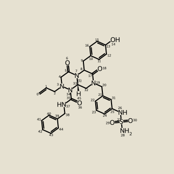 C=CCN1CC(=O)N2C(Cc3ccc(O)cc3)C(=O)N(Cc3cccc(NS(N)(=O)=O)c3)C[C@@H]2N1C(=O)NCc1ccccc1